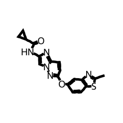 Cc1nc2cc(Oc3ccc4nc(NC(=O)C5CC5)cn4n3)ccc2s1